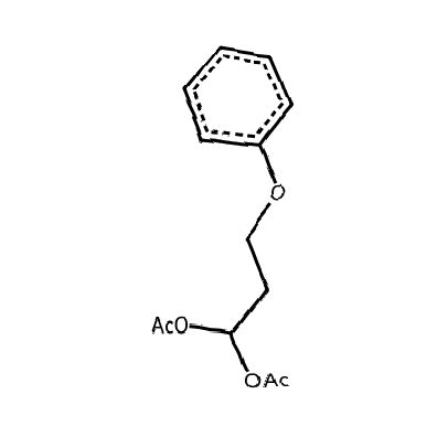 CC(=O)OC(CCOc1ccccc1)OC(C)=O